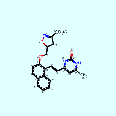 CCOC(=O)C1=NOC(COc2ccc3ccccc3c2C=Cc2cc(C(F)(F)F)[nH]c(=O)n2)C1